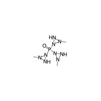 Cn1[nH]n1P(=O)(n1[nH]n1C)n1[nH]n1C